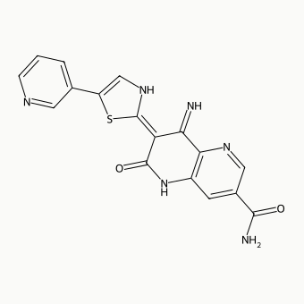 N=C1/C(=C2\NC=C(c3cccnc3)S2)C(=O)Nc2cc(C(N)=O)cnc21